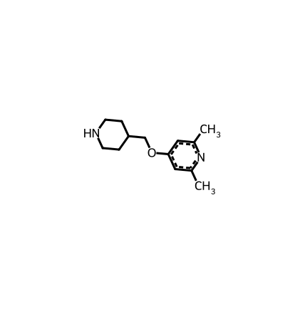 Cc1cc(OCC2CCNCC2)cc(C)n1